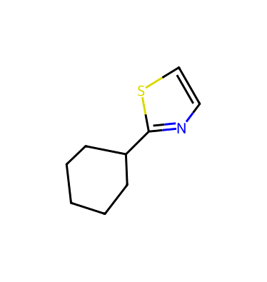 c1csc(C2CCCCC2)n1